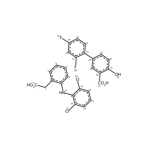 O=C(O)Cc1ccccc1Nc1c(Cl)cccc1Cl.O=C(O)c1cc(-c2ccc(F)cc2F)ccc1O